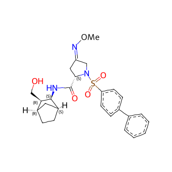 CON=C1C[C@@H](C(=O)N[C@H]2[C@H]3CC[C@H](C3)[C@H]2CO)N(S(=O)(=O)c2ccc(-c3ccccc3)cc2)C1